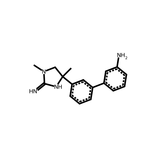 CN1CC(C)(c2cccc(-c3cccc(N)c3)c2)NC1=N